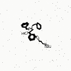 CCCCOCCCOc1cccc([C@H](O)CN(Cc2ccccc2)Cc2ccccc2)c1